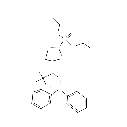 CCOP(=O)(OCC)[C@@H]1OC[C@@H](C(O[SiH](c2ccccc2)c2ccccc2)C(C)(C)C)S1